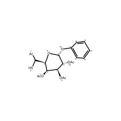 CC(=O)O[C@H]1[C@@H](OC(C)=O)[C@@H](C(S)C(C)=O)O[C@H](Oc2ccccc2)[C@@H]1OC(C)=O